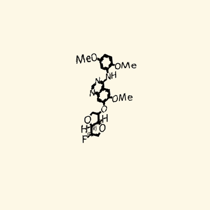 COc1ccc(OC)c(Nc2ncnc3cc(OC4CO[C@H]5[C@H](F)CO[C@@H]45)c(OC)cc23)c1